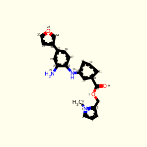 Cn1cccc1COC(=O)c1cccc(Nc2ccc(-c3ccoc3)cc2N)c1